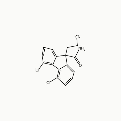 N#CCCC1(C(N)=O)c2cccc(Cl)c2-c2c(Cl)cccc21